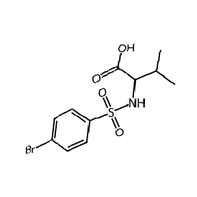 CC(C)C(NS(=O)(=O)c1ccc(Br)cc1)C(=O)O